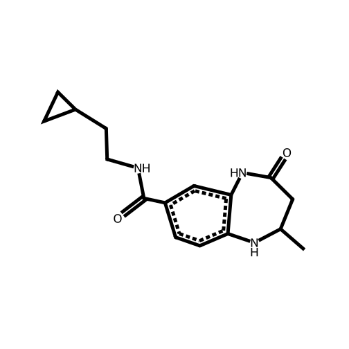 CC1CC(=O)Nc2cc(C(=O)NCCC3CC3)ccc2N1